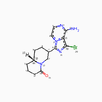 Nc1nccn2c(C3CC[C@H]4CCCC(=O)N4C3)nc(Br)c12